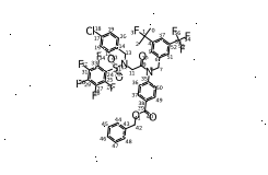 CC(C)(F)c1cc(CN(C(=O)CN(Cc2ccc(Cl)cc2)S(=O)(=O)c2c(F)c(F)c(F)c(F)c2F)c2ccc(C(=O)OCc3ccccc3)cc2)cc(C(F)(F)F)c1